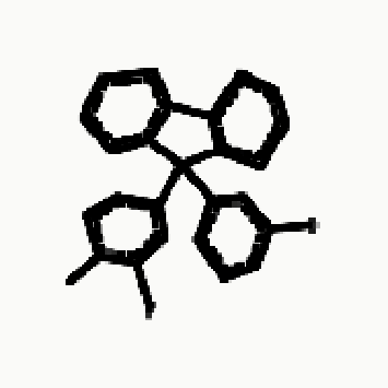 Cc1ccc(C2(c3cccc(F)c3)c3ccccc3-c3ccccc32)cc1F